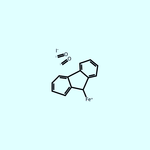 [C]=O.[C]=O.[Fe+][CH]1c2ccccc2-c2ccccc21.[I-]